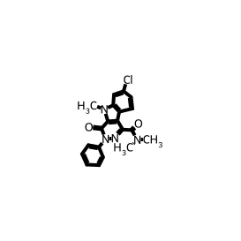 CN(C)C(=O)c1nn(-c2ccccc2)c(=O)c2c1c1ccc(Cl)cc1n2C